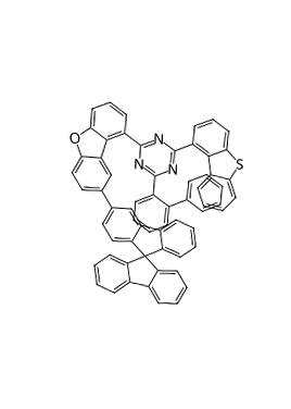 c1ccc(-c2ccccc2-c2nc(-c3cccc4oc5ccc(-c6ccc7c(c6)-c6ccccc6C76c7ccccc7-c7ccccc76)cc5c34)nc(-c3cccc4sc5ccccc5c34)n2)cc1